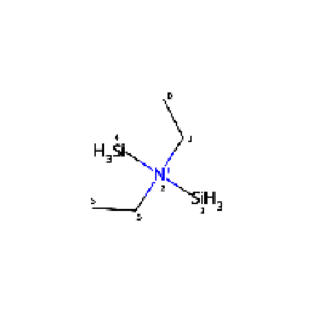 CC[N+]([SiH3])([SiH3])CC